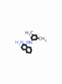 Cc1cc(C)cc(N=Nc2c(N)ccc3ccccc23)c1